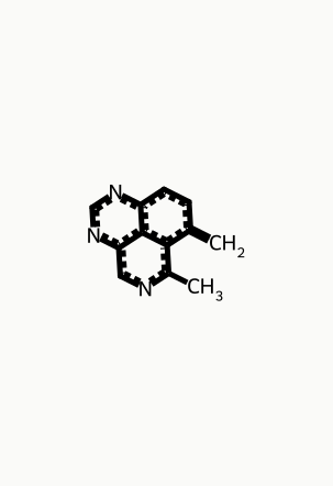 C=c1ccc2ncnc3cnc(C)c1c23